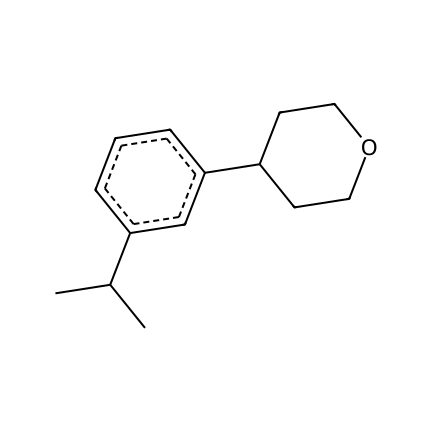 CC(C)c1cccc(C2CCOCC2)c1